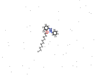 CCCCCCCCCCCOc1c(C)cccc1N=Nc1ccccc1